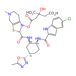 Cc1nnc([C@H]2CC[C@H](NC(=O)c3cc4cc(Cl)ccc4[nH]3)[C@H](NC(=O)C3SC4=C(CCN(C)C4)N3OC(=O)CC(O)(CC(=O)O)C(=O)O)C2)o1